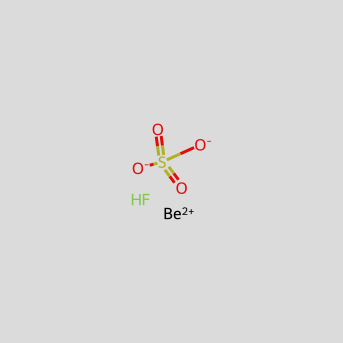 F.O=S(=O)([O-])[O-].[Be+2]